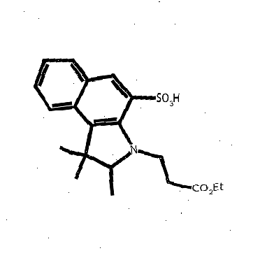 CCOC(=O)CCN1c2c(S(=O)(=O)O)cc3ccccc3c2C(C)(C)C1C